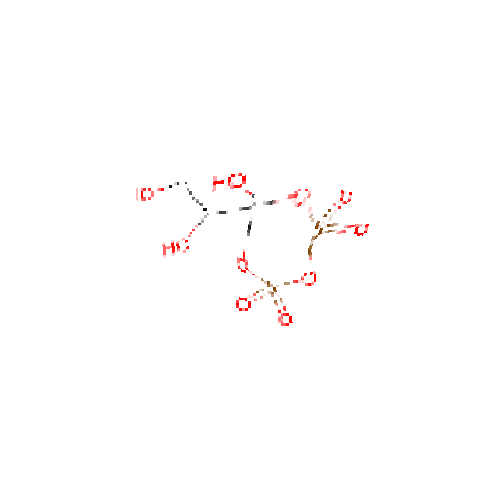 O=S1(=O)OC(O)(C(O)CO)OS(=O)(=O)O1